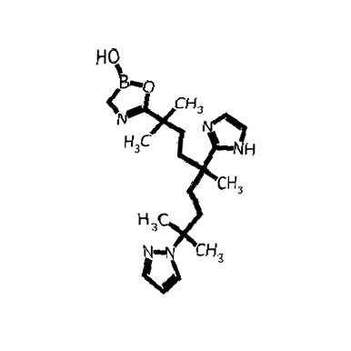 CC(C)(CCC(C)(CCC(C)(C)n1cccn1)c1ncc[nH]1)C1=NCB(O)O1